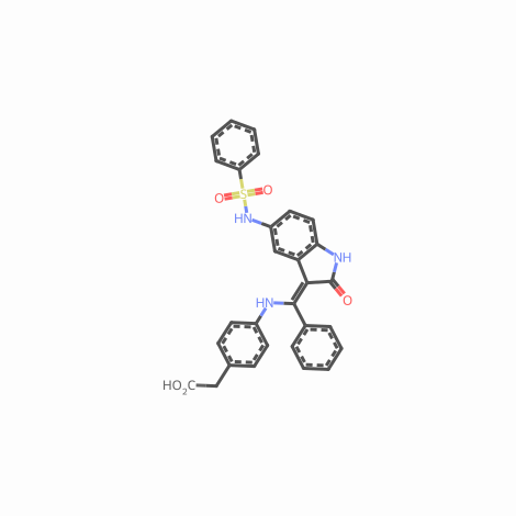 O=C(O)Cc1ccc(NC(=C2C(=O)Nc3ccc(NS(=O)(=O)c4ccccc4)cc32)c2ccccc2)cc1